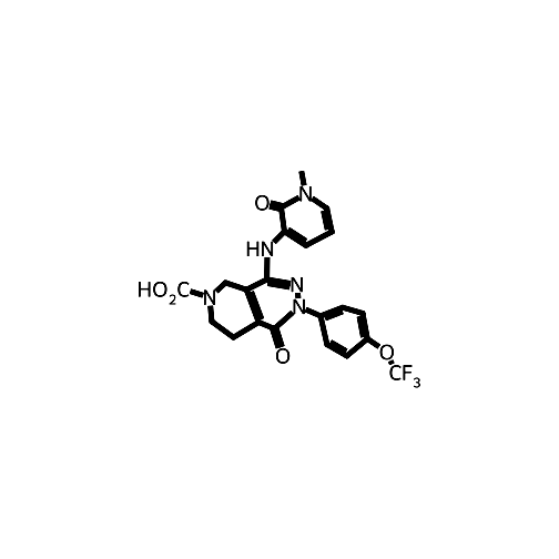 Cn1cccc(Nc2nn(-c3ccc(OC(F)(F)F)cc3)c(=O)c3c2CN(C(=O)O)CC3)c1=O